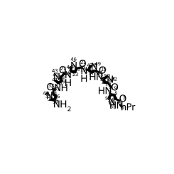 [CH2]CCNC(=O)c1cc(NC(=O)c2cc(NC(=O)c3cc(NC(=O)c4cc(NC(=O)c5cc(NC(=O)c6cc(N)cn6C)cn5C)cn4C)cn3C)cn2C)cn1C